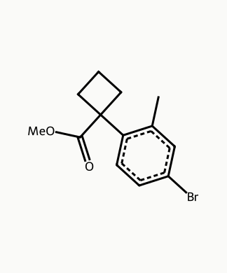 COC(=O)C1(c2ccc(Br)cc2C)CCC1